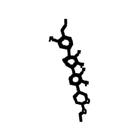 CCCc1ccc(-c2ccc(-c3ccc(C4CCC(OCC)OC4)c(F)c3F)c(F)c2F)cc1F